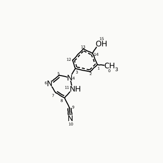 Cc1cc(N2C=NC=C(C#N)N2)ccc1O